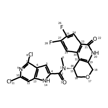 CN(C(=O)c1cc2c(Cl)nc(Cl)cc2[nH]1)[C@H]1COCc2[nH]c(=O)c3cc(F)c(F)cc3c21